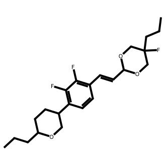 CCCC1CCC(c2ccc(/C=C/C3OCC(F)(CCC)CO3)c(F)c2F)CO1